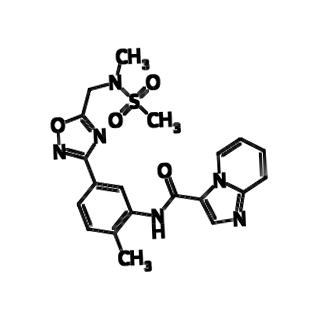 Cc1ccc(-c2noc(CN(C)S(C)(=O)=O)n2)cc1NC(=O)c1cnc2ccccn12